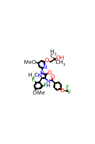 COc1cc(OCC(C)(C)O)nc(-n2c(=O)c(NC(=O)c3ccc(OC(F)F)cc3)c(-c3c(F)cc(OC)cc3F)n2C)c1